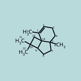 CC1=CCCC2(C)CCC3C(C)(C)CC132